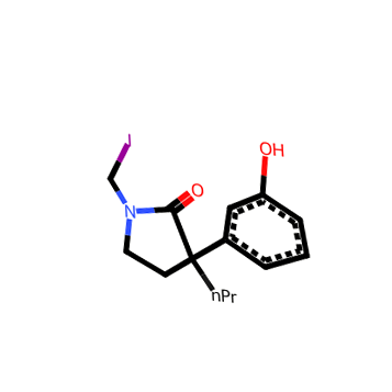 CCCC1(c2cccc(O)c2)CCN(CI)C1=O